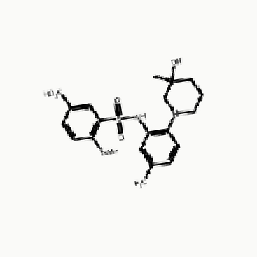 COc1ccc(C(=O)O)cc1S(=O)(=O)Nc1cc(C(F)(F)F)ccc1N1CCCC(C)(O)C1